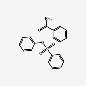 NC(=O)c1ccccc1.O=S(=O)(Oc1ccccc1)c1ccccc1